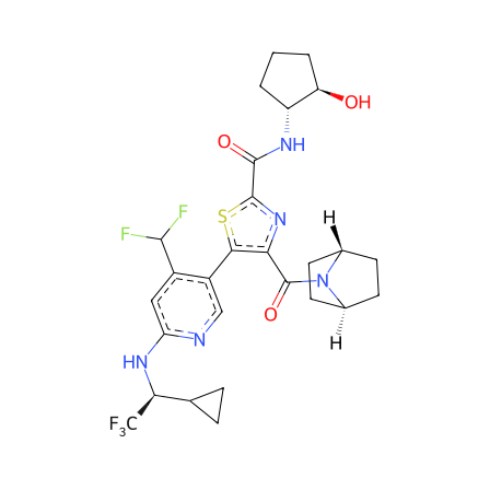 O=C(N[C@@H]1CCC[C@H]1O)c1nc(C(=O)N2[C@H]3CC[C@H]2CC3)c(-c2cnc(N[C@@H](C3CC3)C(F)(F)F)cc2C(F)F)s1